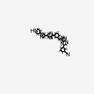 N#Cc1cccc(-c2cnc3nnn(Cc4cccc(-c5ncc(-c6cnn(C7CCNCC7)c6)cn5)c4)c3n2)c1